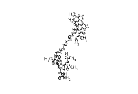 CCC(=O)C(CSC(C)C)NC(=O)C(CCCNC(N)=O)NC(=O)C(NC(=O)CCOCCOCCOCCOCCn1nc(C)c(-c2ccccc2CC)c1-c1ccccc1C(C)C(=O)CC(C)C)C(C)C